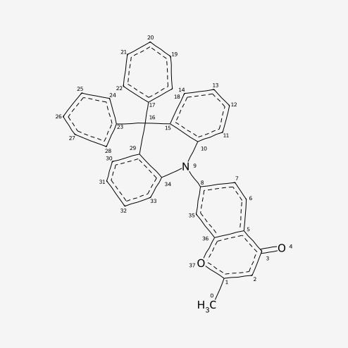 Cc1cc(=O)c2ccc(N3c4ccccc4C(c4ccccc4)(c4ccccc4)c4ccccc43)cc2o1